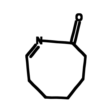 O=C1CCCCCC=N1